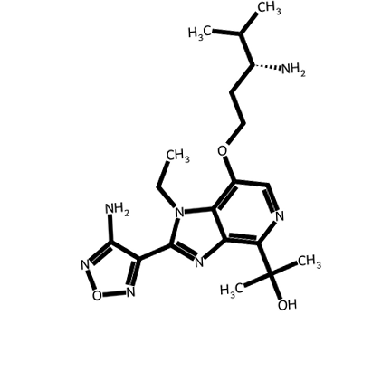 CCn1c(-c2nonc2N)nc2c(C(C)(C)O)ncc(OCC[C@@H](N)C(C)C)c21